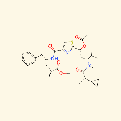 COC(=O)[C@@H](C)C[C@H](Cc1ccccc1)NC(=O)c1csc([C@@H](C[C@H](C(C)C)N(C)C(=O)[C@@H](C)C2CC2)OC(C)=O)n1